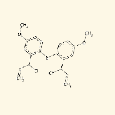 C=CC(Cl)c1cc(OC)ccc1Sc1ccc(OC)cc1C(Cl)C=C